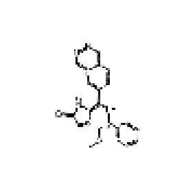 COC[C@H](NC(=C1N=CC(=O)N1)c1ccc2cnncc2c1)c1ccccc1